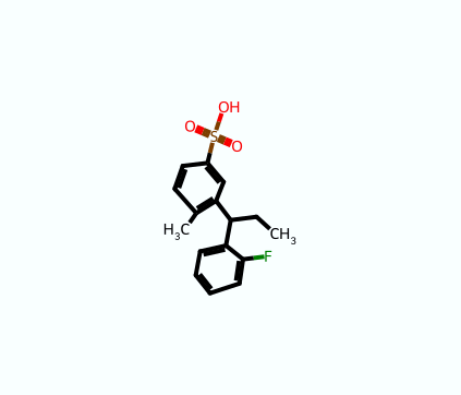 CCC(c1cc(S(=O)(=O)O)ccc1C)c1ccccc1F